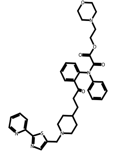 O=C(OCCN1CCOCC1)C(=O)N(c1ccccc1)c1ccccc1C(=O)CCC1CCN(Cc2cnc(-c3ccccn3)s2)CC1